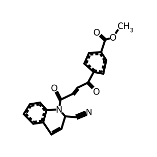 COC(=O)c1ccc(C(=O)C=CC(=O)N2c3ccccc3C=CC2C#N)cc1